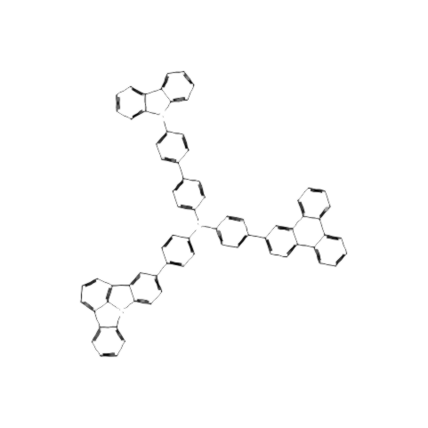 c1ccc2c(c1)c1ccccc1c1cc(-c3ccc(N(c4ccc(-c5ccc(-n6c7ccccc7c7ccccc76)cc5)cc4)c4ccc(-c5ccc6c(c5)c5cccc7c8ccccc8n6c75)cc4)cc3)ccc21